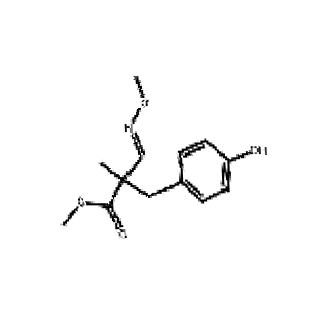 CON=CC(C)(Cc1ccc(O)cc1)C(=O)OC